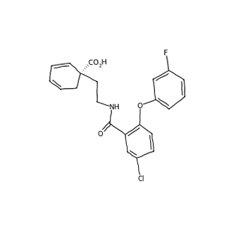 O=C(NCC[C@]1(C(=O)O)C=CC=CC1)c1cc(Cl)ccc1Oc1cccc(F)c1